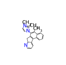 Cc1c(N2C=CN(C)[C@@H]2C)c2c(c3ccccc13)-c1cccnc1C2